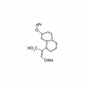 CCCOc1ccc2cccc(/C(=C\OC)C(=O)O)c2c1